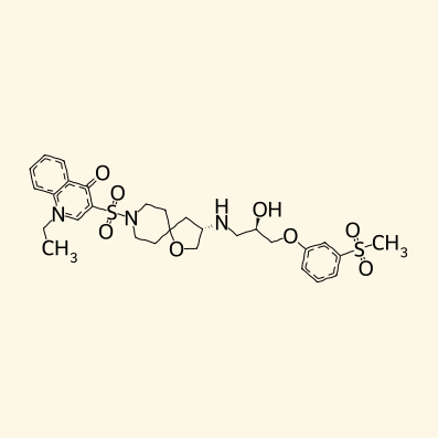 CCn1cc(S(=O)(=O)N2CCC3(CC2)C[C@H](NC[C@@H](O)COc2cccc(S(C)(=O)=O)c2)CO3)c(=O)c2ccccc21